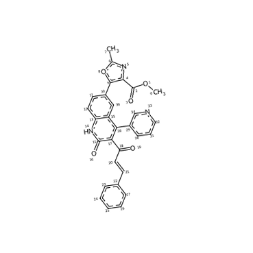 COC(=O)c1nc(C)oc1-c1ccc2[nH]c(=O)c(C(=O)/C=C/c3ccccc3)c(-c3cccnc3)c2c1